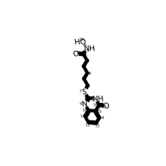 O=C(CCCCCSc1nc2ccccc2c(=O)[nH]1)NO